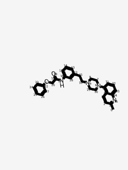 Cc1ccc2c(N3CCN(CCc4cccc(NC(=O)COc5ccccc5)c4)CC3)cccc2n1